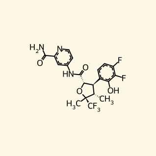 C[C@H]1[C@H](c2ccc(F)c(F)c2O)[C@@H](C(=O)Nc2ccnc(C(N)=O)c2)O[C@]1(C)C(F)(F)F